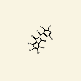 O=C(c1cc(Cl)cc(Cl)c1Cl)N1C(=O)c2c(Br)c(Br)c(Br)c(Br)c2C1=O